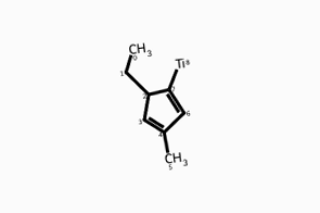 CCC1C=C(C)C=[C]1[Ti]